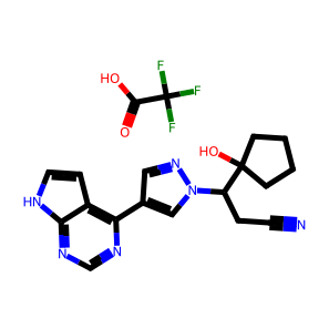 N#CCC(n1cc(-c2ncnc3[nH]ccc23)cn1)C1(O)CCCC1.O=C(O)C(F)(F)F